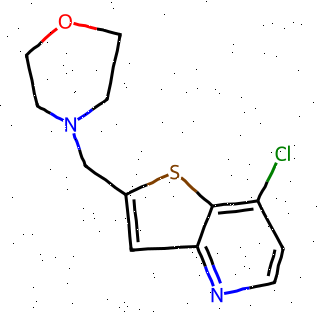 Clc1ccnc2cc(CN3CCOCC3)sc12